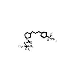 CC(C)(C)OC(=O)N1CCCC(CCCc2ccc(S(C)(=O)=O)cc2)C1